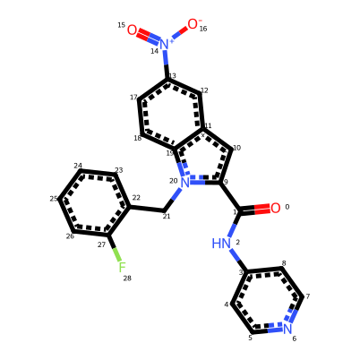 O=C(Nc1ccncc1)c1cc2cc([N+](=O)[O-])ccc2n1Cc1ccccc1F